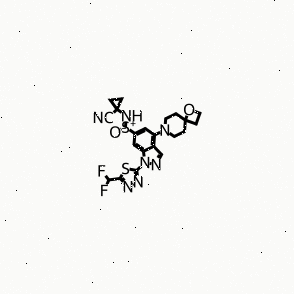 N#CC1(N[S+]([O-])c2cc(N3CCC4(CCO4)CC3)c3cnn(-c4nnc(C(F)F)s4)c3c2)CC1